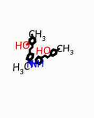 Cc1ccc(CCc2ccc(NN(C)c3ccc(CCc4ccc(C)cc4O)cc3)cc2)c(O)c1